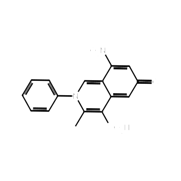 Cc1c(C(=O)O)c2cc(=O)cc([N+](=O)[O-])c-2cn1-c1ccccc1